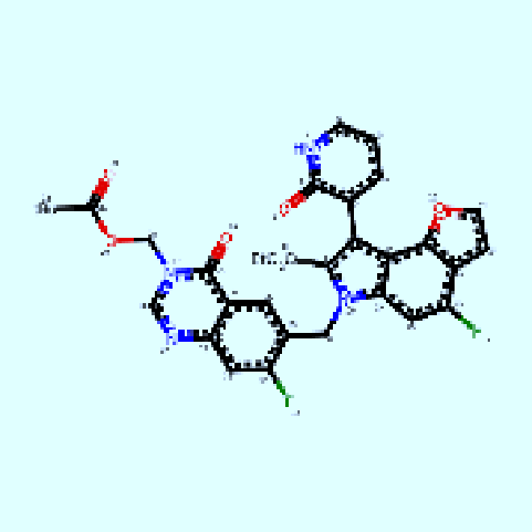 CCOC(=O)c1c(-c2ccc[nH]c2=O)c2c3occc3c(F)cc2n1Cc1cc2c(=O)n(COC(=O)C(C)(C)C)cnc2cc1F